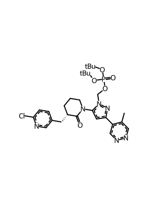 Cc1cnncc1-c1cc(N2CCC[C@@H](Cc3ccc(Cl)nc3)C2=O)n(COP(=O)(OC(C)(C)C)OC(C)(C)C)n1